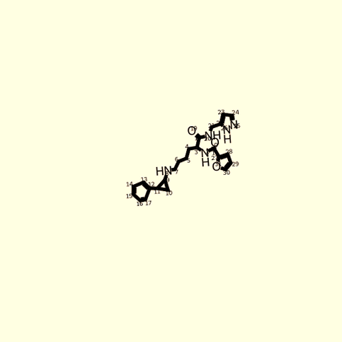 O=C(NC(CCCCNC1CC1c1ccccc1)C(=O)NCc1ccn[nH]1)c1ccco1